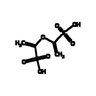 C=C(OC(=C)S(=O)(=O)O)S(=O)(=O)O